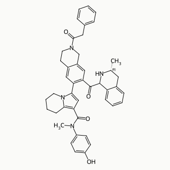 C[C@@H]1Cc2ccccc2C(C(=O)c2cc3c(cc2-c2cc(C(=O)N(C)c4ccc(O)cc4)c4n2CCCC4)CCN(C(=O)Cc2ccccc2)C3)N1